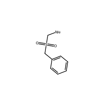 [NH]CS(=O)(=O)Cc1ccccc1